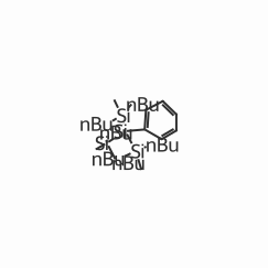 CCCC[Si](C)(CCCC)[Si](c1ccccc1)([Si](C)(CCCC)CCCC)[Si](C)(CCCC)CCCC